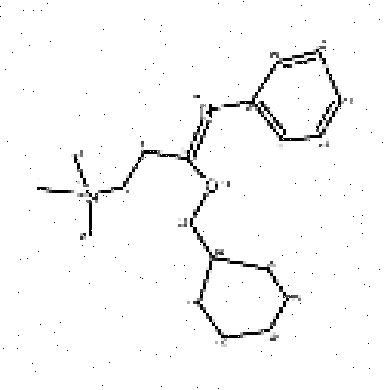 C[Si](C)(C)CC/C(=N/c1ccccc1)OCC1CCCCC1